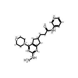 NNc1nc2c(c(N3CCOCC3)n1)CC(CCC(=O)Nc1cccnc1)C2